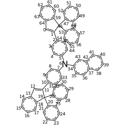 C1=C(c2ccc(N(c3ccc(C4=Cc5ccccc5C4(c4ccccc4)c4ccccc4)cc3)c3ccc4ccccc4c3)cc2)C(c2ccccc2)(c2ccccc2)c2ccccc21